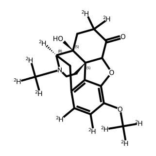 [2H]c1c([2H])c(OC([2H])([2H])[2H])c2c3c1C[C@@]1([2H])N(C([2H])([2H])[2H])CC[C@@]34C(O2)C(=O)C([2H])([2H])C[C@]41O